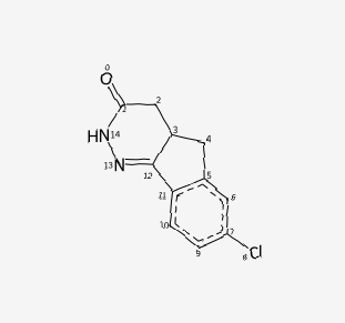 O=C1CC2Cc3cc(Cl)ccc3C2=NN1